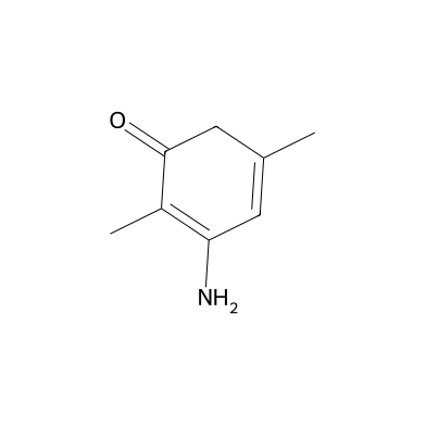 CC1=CC(N)=C(C)C(=O)C1